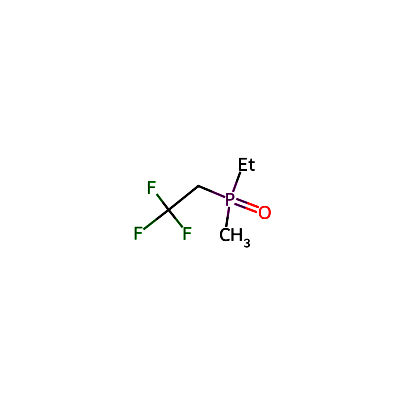 CCP(C)(=O)CC(F)(F)F